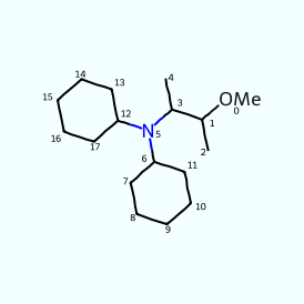 COC(C)C(C)N(C1CCCCC1)C1CCCCC1